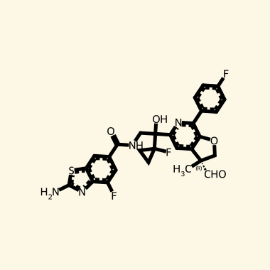 C[C@]1(C=O)COc2c1cc(C(O)(CNC(=O)c1cc(F)c3nc(N)sc3c1)C1(F)CC1)nc2-c1ccc(F)cc1